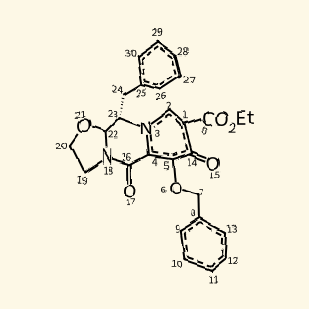 CCOC(=O)c1cn2c(c(OCc3ccccc3)c1=O)C(=O)N1CCOC1[C@@H]2Cc1ccccc1